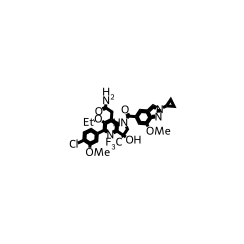 CCOc1c(CC(N)=O)cc([C@@](O)(CNC(=O)c2cc(OC)c3nn(C4CC4)cc3c2)C(F)(F)F)nc1-c1ccc(Cl)c(OC)c1